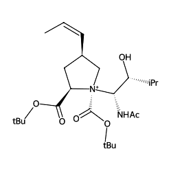 C/C=C\[C@@H]1C[C@H](C(=O)OC(C)(C)C)[N@+](C(=O)OC(C)(C)C)([C@@H](NC(C)=O)[C@H](O)C(C)C)C1